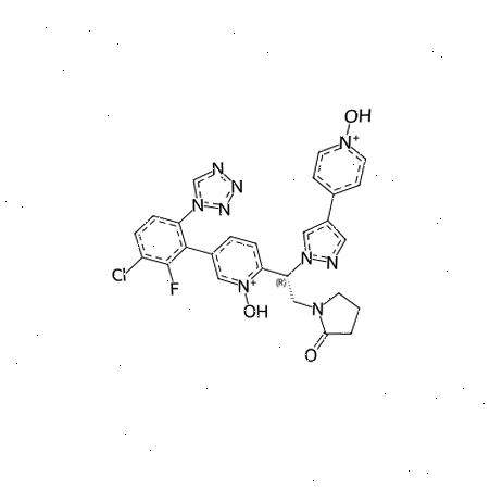 O=C1CCCN1C[C@H](c1ccc(-c2c(-n3cnnn3)ccc(Cl)c2F)c[n+]1O)n1cc(-c2cc[n+](O)cc2)cn1